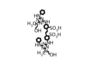 CN(CCO)c1nc(Nc2ccccc2)nc(Nc2ccc(C=Cc3ccc(Nc4nc(Nc5ccccc5)nc(N(C)CCO)n4)cc3S(=O)(=O)O)c(S(=O)(=O)O)c2)n1